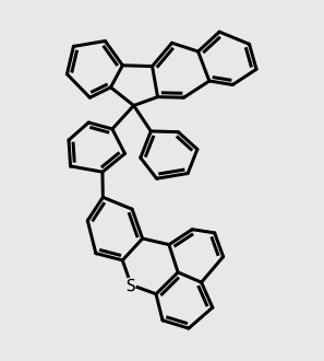 c1ccc(C2(c3cccc(-c4ccc5c(c4)-c4cccc6cccc(c46)S5)c3)c3ccccc3-c3cc4ccccc4cc32)cc1